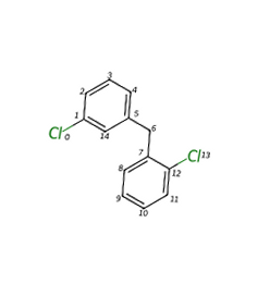 Clc1cccc(Cc2ccccc2Cl)c1